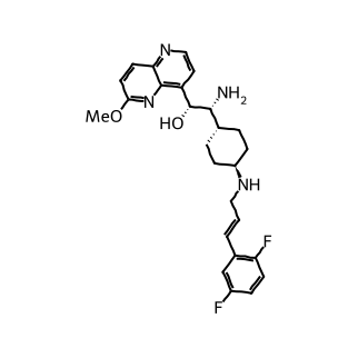 COc1ccc2nccc([C@@H](O)[C@H](N)[C@H]3CC[C@H](NCC=Cc4cc(F)ccc4F)CC3)c2n1